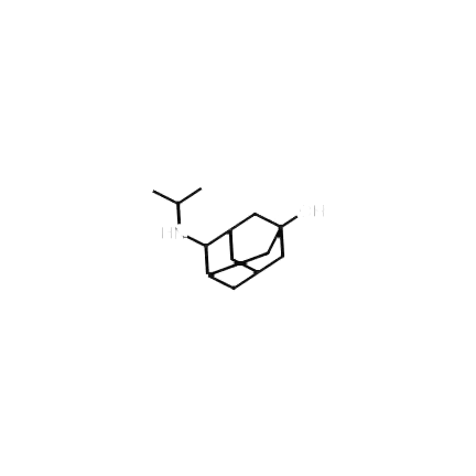 CC(C)NC1C2CC3CC1CC(O)(C3)C2